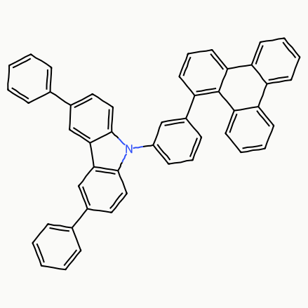 c1ccc(-c2ccc3c(c2)c2cc(-c4ccccc4)ccc2n3-c2cccc(-c3cccc4c5ccccc5c5ccccc5c34)c2)cc1